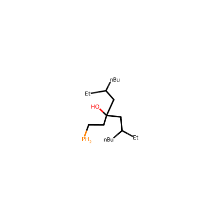 CCCCC(CC)CC(O)(CCP)CC(CC)CCCC